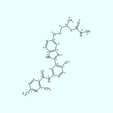 Cc1nc(C(F)(F)F)ccc1C(=O)Nc1ccc(Cl)c(-c2nc3cc(OCCC(C)CC(=O)NO)ccc3[nH]2)c1